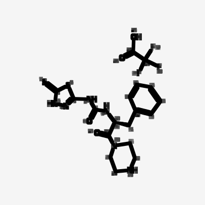 O=C(Nc1n[nH]c(=S)s1)N[C@@H](Cc1ccccc1)C(=O)N1CCNCC1.O=C(O)C(F)(F)F